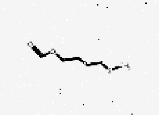 CSCCCCOC=O